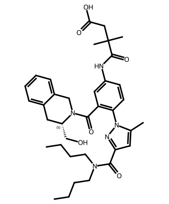 CCCCN(CCCC)C(=O)c1cc(C)n(-c2ccc(NC(=O)C(C)(C)CC(=O)O)cc2C(=O)N2Cc3ccccc3C[C@H]2CO)n1